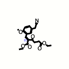 CCOC(=O)CCC(=O)/C(=C\c1cc(CC#N)ccc1OC)C(=O)OCC